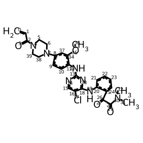 C=CC(=O)N1CCN(c2ccc(Nc3ncc(Cl)c(Nc4ccccc4C(=O)C(=O)N(C)C)n3)c(OC)c2)CC1